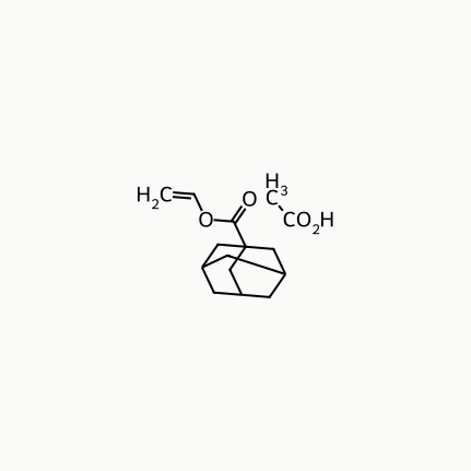 C=COC(=O)C12CC3CC(CC(C3)C1)C2.CC(=O)O